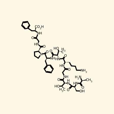 C[C@H](N)C(=O)N[C@@H](CO)C(=O)N[C@H](C(=O)NCC(=O)N[C@@H](CCCCN)C(=O)N[C@H](C(=O)N[C@@H](Cc1ccccc1)C(=O)N1CCC[C@H]1C(=O)NCC(=O)N[C@@H](Cc1ccccc1)C(=O)O)[C@@H](C)O)[C@@H](C)O